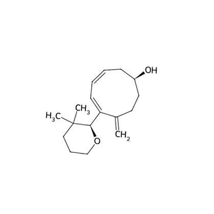 C=C1CC[C@H](O)C/C=C\C=C/1[C@H]1OCCCC1(C)C